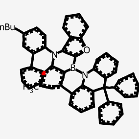 CCCCc1ccc(N2c3cc(C)cc4c3B(c3oc5ccccc5c32)N2c3ccccc3C(c3ccccc3)(c3ccccc3)c3cccc-4c32)c(-c2ccccc2)c1